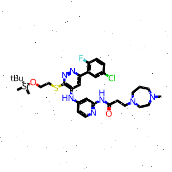 CN1CCCN(CCC(=O)Nc2cc(Nc3cc(-c4cc(Cl)ccc4F)nnc3SCCO[Si](C)(C)C(C)(C)C)ccn2)CC1